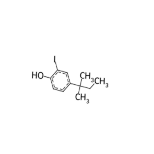 CCC(C)(C)c1ccc(O)c(I)c1